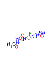 CC(=O)NC[C@H]1CN(c2ccc(N3CCN(c4nnco4)CC3)c(F)c2)C(=O)O1